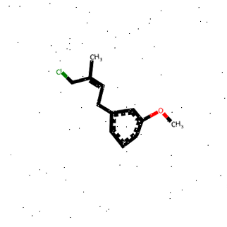 COc1cccc(CC=C(C)CCl)c1